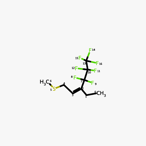 CCC(=CCSC)C(F)(F)C(F)(F)C(F)(F)F